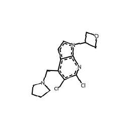 Clc1nc2c(ccn2C2COC2)c(CN2CCCC2)c1Cl